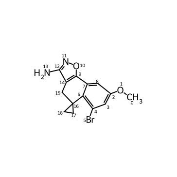 COc1cc(Br)c2c(c1)-c1onc(N)c1CC21CC1